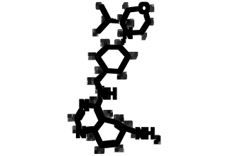 CC(C)[C@@H]1COCCN1[C@H]1CC[C@H](CNc2ncnc3ccc(N)cc23)CC1